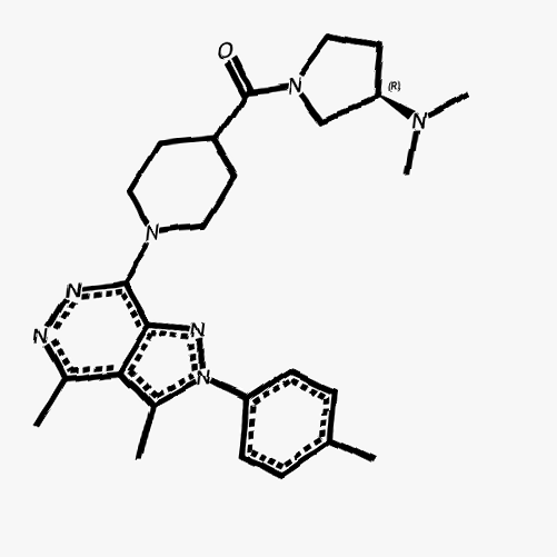 Cc1ccc(-n2nc3c(N4CCC(C(=O)N5CC[C@@H](N(C)C)C5)CC4)nnc(C)c3c2C)cc1